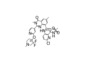 Cc1cc([C@@H](C)Nc2ccc(Cl)nc2C(=O)NS(C)(=O)=O)c2nc(-c3ccnc(O[C@@H]4CCN(C)CC4(F)F)c3)n(C)c(=O)c2c1